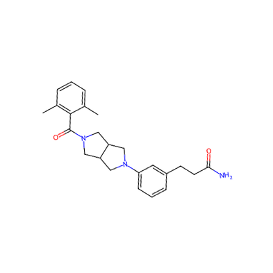 Cc1cccc(C)c1C(=O)N1CC2CN(c3cccc(CCC(N)=O)c3)CC2C1